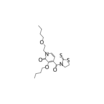 CCCCOCCn1ccc(C(=O)N2CCSC2=S)c(OCCCC)c1=O